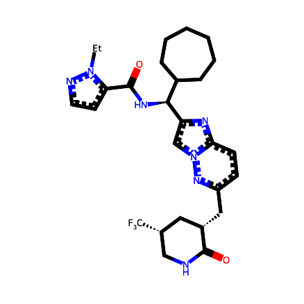 CCn1nccc1C(=O)N[C@H](c1cn2nc(C[C@H]3C[C@@H](C(F)(F)F)CNC3=O)ccc2n1)C1CCCCCC1